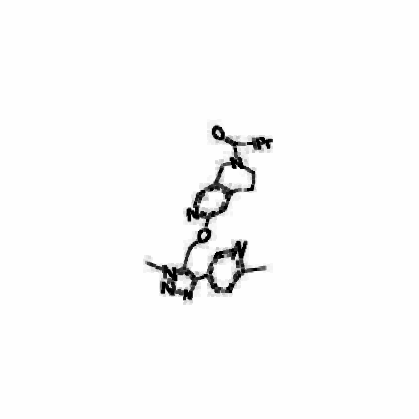 Cc1ccc(-c2nnn(C)c2COc2cc3c(cn2)CN(C(=O)C(C)C)CC3)cn1